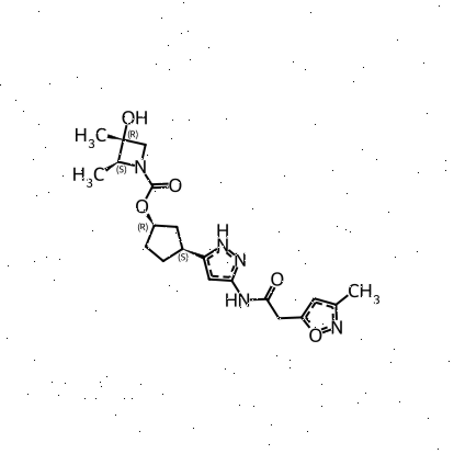 Cc1cc(CC(=O)Nc2cc([C@H]3CC[C@@H](OC(=O)N4C[C@@](C)(O)[C@@H]4C)C3)[nH]n2)on1